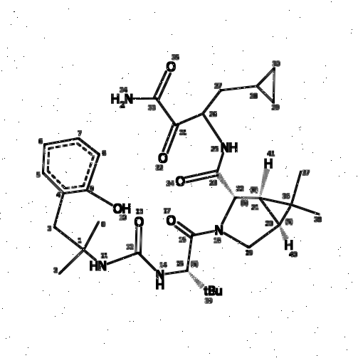 CC(C)(Cc1ccccc1O)NC(=O)N[C@H](C(=O)N1C[C@H]2[C@@H]([C@H]1C(=O)NC(CC1CC1)C(=O)C(N)=O)C2(C)C)C(C)(C)C